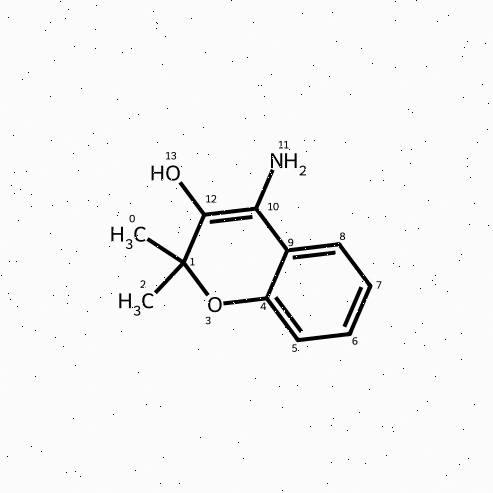 CC1(C)Oc2ccccc2C(N)=C1O